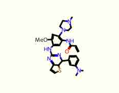 C=CC(=O)Nc1cc(NC2=NC(c3cccc(N(C)C)c3)C3SC=CC3=N2)c(OC)cc1N1CCN(C)CC1